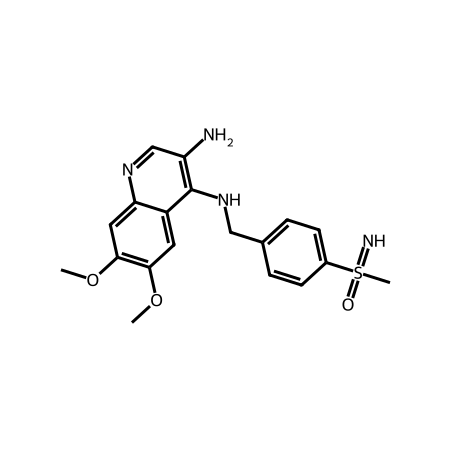 COc1cc2ncc(N)c(NCc3ccc(S(C)(=N)=O)cc3)c2cc1OC